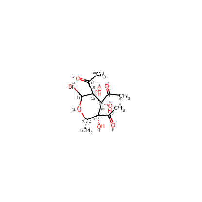 CC(=O)[C@@]1(O)[C@@](O)(C(C)=O)[C@H](C)OC(Br)[C@@]1(O)C(C)=O